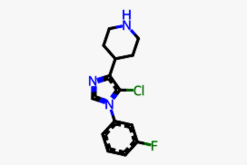 Fc1cccc(-n2cnc(C3CCNCC3)c2Cl)c1